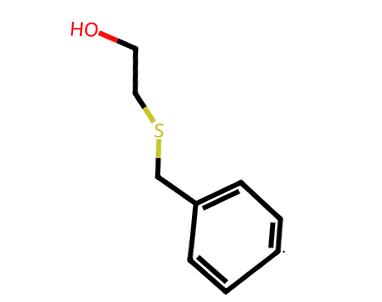 OCCSCc1cc[c]cc1